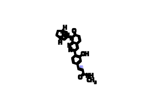 CNC(=O)/C=C/c1ccc(-c2cc3ccc(=O)n(C4C[C@H]5CC[C@@H](C4)N5)c3nn2)c(O)c1